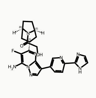 Nc1c(F)c([C@@H]2C[C@H]3CC[C@@H](C2)N3C(=O)CO)nc2c(-c3ccc(-c4ncc[nH]4)nc3)cnn12